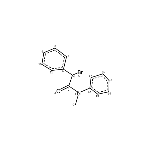 CN(C(=O)C(Br)c1ccccc1)c1ccccc1